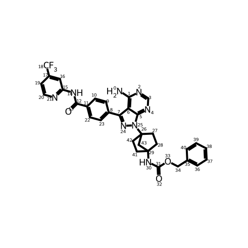 Nc1ncnc2c1c(-c1ccc(C(=O)Nc3cc(C(F)(F)F)ccn3)cc1)nn2C12CCC(NC(=O)OCc3ccccc3)(CC1)C2